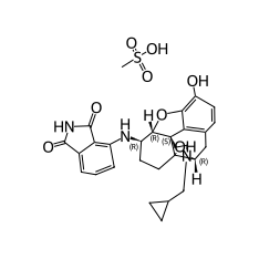 CS(=O)(=O)O.O=C1NC(=O)c2c(N[C@@H]3CCC4(O)[C@H]5Cc6ccc(O)c7c6[C@@]4(CCN5CC4CC4)[C@H]3O7)cccc21